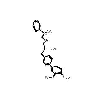 CC(C)Oc1cc(-c2ccc(CCCNC[C@H](O)c3ccccc3)cc2)ccc1C(=O)O.Cl